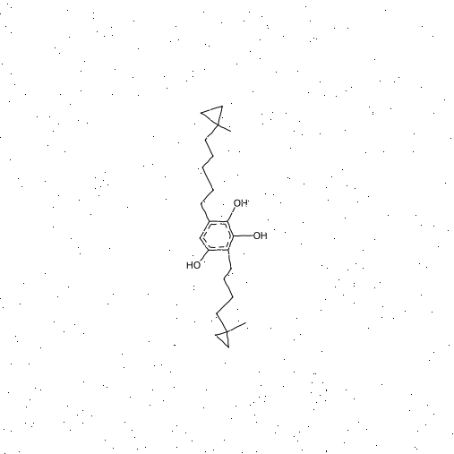 CC1(CCCCCc2cc(O)c(CCCCC3(C)CC3)c(O)c2O)CC1